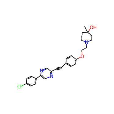 CC1(O)CCN(CCOc2ccc(C#Cc3cnc(-c4ccc(Cl)cc4)cn3)cc2)CC1